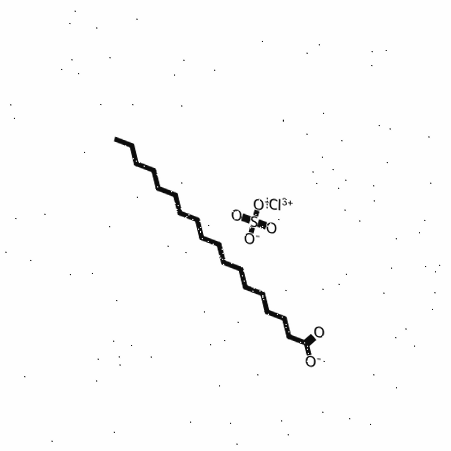 CCCCCCCCCCCCCCCCCC(=O)[O-].O=S(=O)([O-])[O-].[Cl+3]